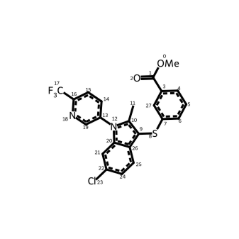 COC(=O)c1cccc(Sc2c(C)n(-c3ccc(C(F)(F)F)nc3)c3cc(Cl)ccc23)c1